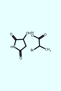 CC(Br)C(=O)O.O=C1CC(O)C(=O)N1